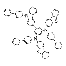 c1ccc(-c2ccc(N(c3cc(-c4ccc5c(c4)c4ccccc4n5-c4ccc(-c5ccccc5)cc4)cc(N(c4ccc(-c5ccccc5)cc4)c4ccc5c(c4)sc4ccccc45)c3)c3ccc4c(c3)sc3ccccc34)cc2)cc1